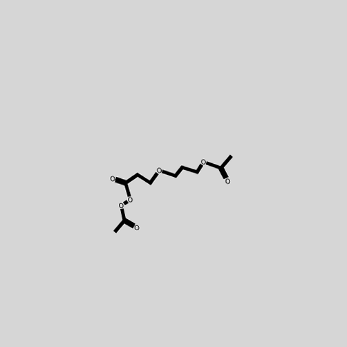 CC(=O)OCCCOCCC(=O)OOC(C)=O